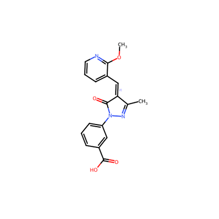 COc1ncccc1/C=C1\C(=O)N(c2cccc(C(=O)O)c2)N=C1C